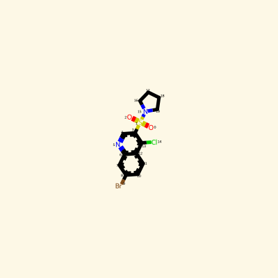 O=S(=O)(c1cnc2cc(Br)ccc2c1Cl)N1CCCC1